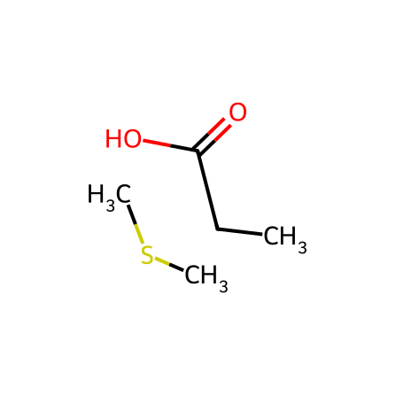 CCC(=O)O.CSC